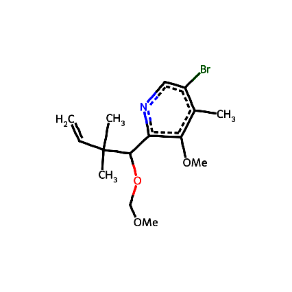 C=CC(C)(C)C(OCOC)c1ncc(Br)c(C)c1OC